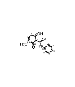 Cn1ccc(O)c(C(=O)Nc2cnccn2)c1=O